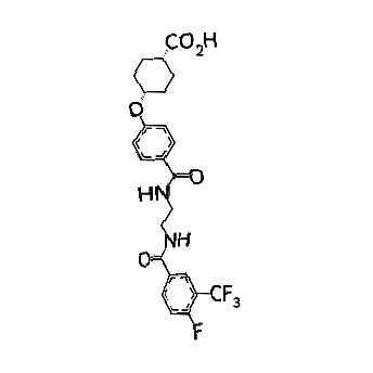 O=C(NCCNC(=O)c1ccc(F)c(C(F)(F)F)c1)c1ccc(O[C@H]2CC[C@@H](C(=O)O)CC2)cc1